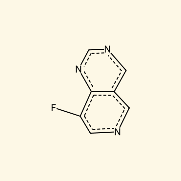 Fc1cncc2cncnc12